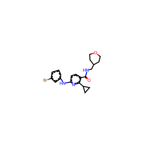 O=C(NCC1CCOCC1)c1ccc(Nc2cccc(Br)c2)nc1C1CC1